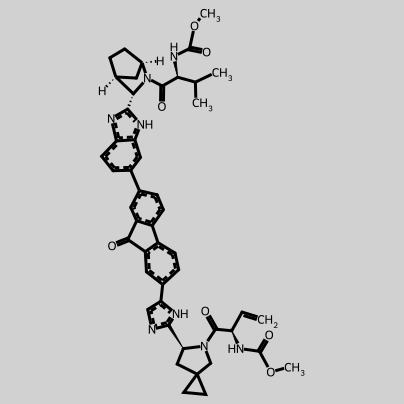 C=C[C@@H](NC(=O)OC)C(=O)N1CC2(CC2)C[C@H]1c1ncc(-c2ccc3c(c2)C(=O)c2cc(-c4ccc5nc([C@@H]6[C@H]7CC[C@H](C7)N6C(=O)[C@@H](NC(=O)OC)C(C)C)[nH]c5c4)ccc2-3)[nH]1